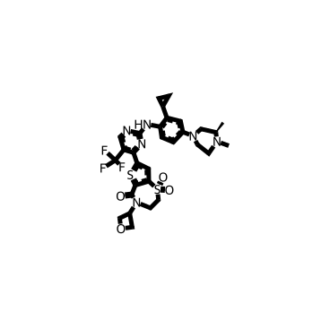 C[C@@H]1CN(c2ccc(Nc3ncc(C(F)(F)F)c(-c4cc5c(s4)C(=O)N(C4COC4)CCS5(=O)=O)n3)c(C3CC3)c2)CCN1C